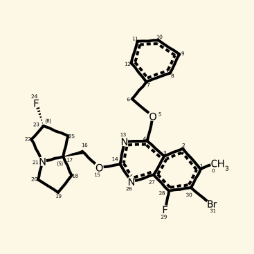 Cc1cc2c(OCc3ccccc3)nc(OC[C@@]34CCCN3C[C@H](F)C4)nc2c(F)c1Br